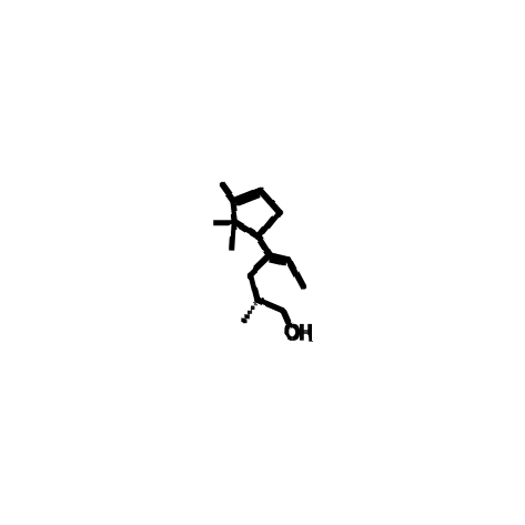 CC=C(C[C@@H](C)CO)C1CC=C(C)C1(C)C